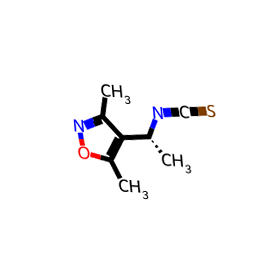 Cc1noc(C)c1[C@@H](C)N=C=S